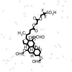 C[C@H](CCC(=O)OCC(=O)OCC(F)(F)S(=O)(=O)O)[C@H]1CC[C@H]2[C@@H]3C(OC=O)C[C@@H]4CC(OC=O)CC[C@]4(C)[C@H]3CC(OC=O)[C@]12C